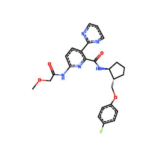 COCC(=O)Nc1ccc(-c2ncccn2)c(C(=O)N[C@H]2CCC[C@@H]2COc2ccc(F)cc2)n1